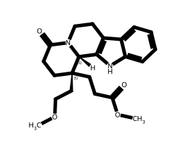 COCC[C@@]1(CCC(=O)OC)CCC(=O)N2CCc3c([nH]c4ccccc34)[C@@H]21